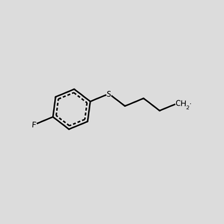 [CH2]CCCSc1ccc(F)cc1